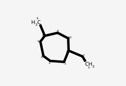 CCC1CCCCC(C)CC1